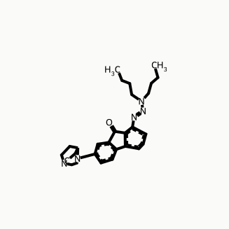 CCCCN(CCCC)/N=N/c1cccc2c1C(=O)c1cc(N3CCN4CCC3CC4)ccc1-2